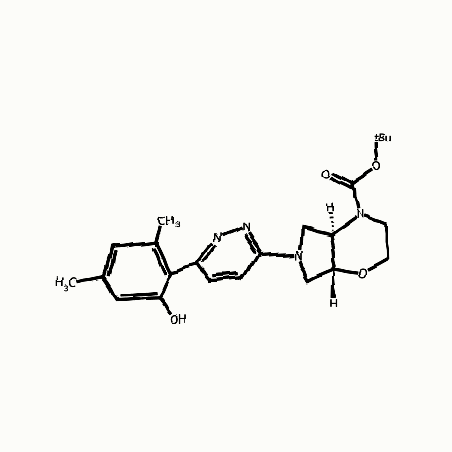 Cc1cc(C)c(-c2ccc(N3C[C@@H]4[C@@H](C3)OCCN4C(=O)OC(C)(C)C)nn2)c(O)c1